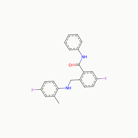 Cc1cc(I)ccc1NCc1ccc(I)cc1C(=O)Nc1ccccc1